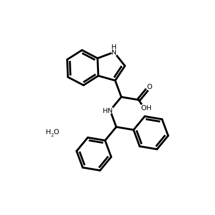 O.O=C(O)C(NC(c1ccccc1)c1ccccc1)c1c[nH]c2ccccc12